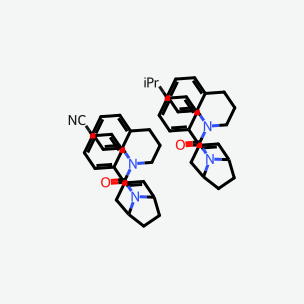 CC(C)c1ccc(C2=CC3CCC(C2)N3C(=O)N2CCCc3ccccc32)cc1.N#Cc1ccc(C2=CC3CCC(C2)N3C(=O)N2CCCc3ccccc32)cc1